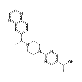 CC(O)c1cnc(N2CCN(C(C)c3ccc4nccnc4c3)CC2)nc1